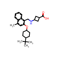 Cc1cc(OC2CCC(C(C)(C)C)CC2)c(CNC2CC(C(=O)O)C2)c2ccccc12